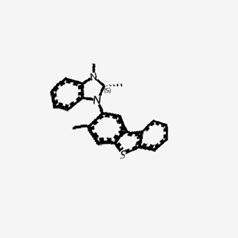 Cc1cc2sc3ccccc3c2cc1N1c2ccccc2N(C)[C@@H]1C